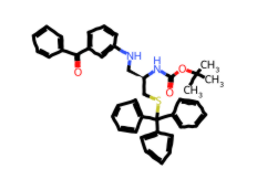 CC(C)(C)OC(=O)N[C@H](CNc1cccc(C(=O)c2ccccc2)c1)CSC(c1ccccc1)(c1ccccc1)c1ccccc1